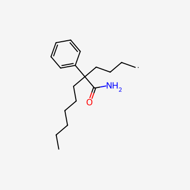 [CH2]CCCC(CCCCCC)(C(N)=O)c1ccccc1